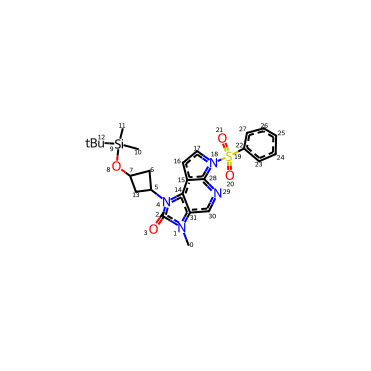 Cn1c(=O)n(C2CC(O[Si](C)(C)C(C)(C)C)C2)c2c3ccn(S(=O)(=O)c4ccccc4)c3ncc21